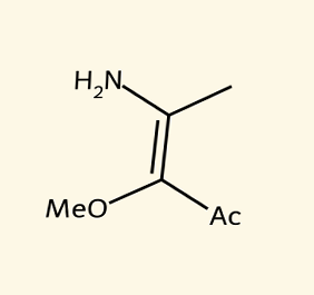 COC(C(C)=O)=C(C)N